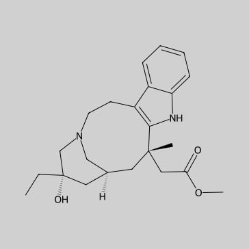 CC[C@]1(O)C[C@H]2CN(CCc3c([nH]c4ccccc34)[C@](C)(CC(=O)OC)C2)C1